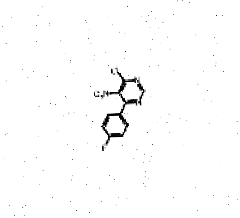 O=[N+]([O-])c1c(Cl)ncnc1-c1ccc(F)cc1